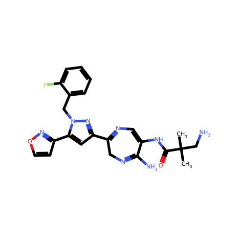 CC(C)(CN)C(=O)NC1=CN=C(c2cc(-c3ccon3)n(Cc3ccccc3F)n2)CN=C1N